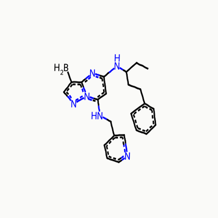 Bc1cnn2c(NCc3cccnc3)cc(NC(CC)CCc3ccccc3)nc12